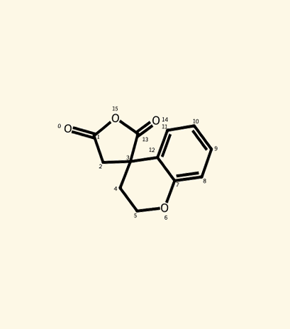 O=C1CC2(CCOc3ccccc32)C(=O)O1